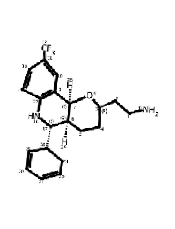 NCC[C@H]1CC[C@@H]2[C@H](O1)c1cc(C(F)(F)F)ccc1N[C@H]2C1C=CC=CC1